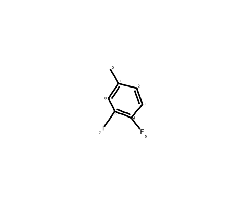 Cc1ccc(F)c(I)c1